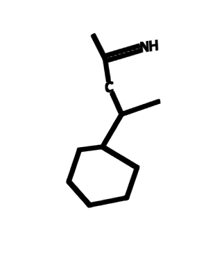 CC(=N)CC(C)C1CCCCC1